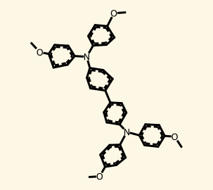 COc1ccc(N(c2ccc(OC)cc2)c2ccc(-c3ccc(N(c4ccc(OC)cc4)c4ccc(OC)cc4)cc3)cc2)cc1